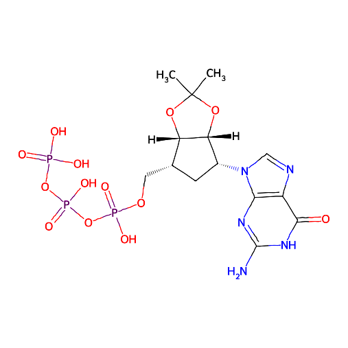 CC1(C)O[C@H]2[C@@H](COP(=O)(O)OP(=O)(O)OP(=O)(O)O)C[C@@H](n3cnc4c(=O)[nH]c(N)nc43)[C@H]2O1